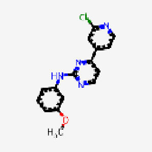 COc1cccc(Nc2nccc(-c3ccnc(Cl)c3)n2)c1